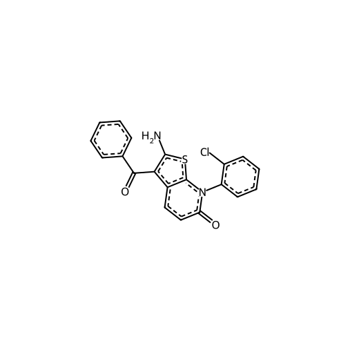 Nc1sc2c(ccc(=O)n2-c2ccccc2Cl)c1C(=O)c1ccccc1